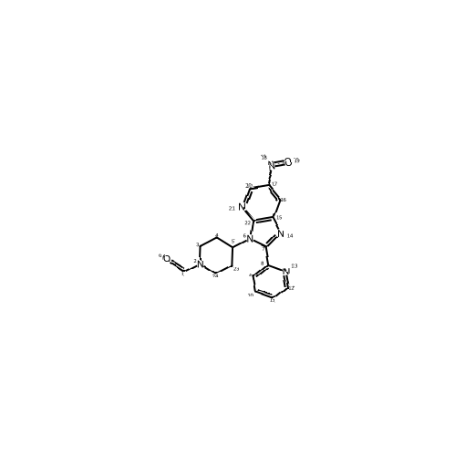 O=CN1CCC(n2c(-c3ccccn3)nc3cc(N=O)cnc32)CC1